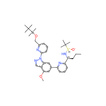 CCC[C@H](N[S@+]([O-])C(C)(C)C)c1cccc(-c2cc(OC)c3cnn(-c4cccc(CO[Si](C)(C)C(C)(C)C)n4)c3c2)n1